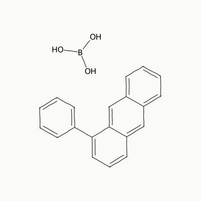 OB(O)O.c1ccc(-c2cccc3cc4ccccc4cc23)cc1